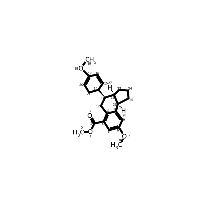 COC(=O)c1cc(OC)cc2c1C[C@@H](C1C=CC(OC)=CC1)[C@H]1CCC[C@@H]21